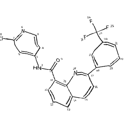 O=C(Nc1ccnc(Cl)c1)c1cccc2ccc(-c3cccc(C(F)(F)F)c3)nc12